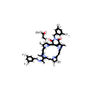 CC[C@H]1c2cc3[nH]c4c(c5nc(cc6[nH]c(cc(n2)[C@@H]1C)c(/C(C)=N\Cc1cc(C(F)(F)F)cc(C(F)(F)F)c1)c6C)[C@@H](C)[C@@H]5CCC(=O)OC)C(=O)N(Cc1cc(C(F)(F)F)cc(C(F)(F)F)c1)C(=O)c4c3C